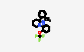 CNC1(c2ccccc2)CCCCN1c1ccccc1OC(F)(F)F